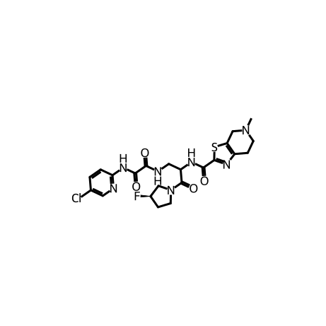 CN1CCc2nc(C(=O)NC(CNC(=O)C(=O)Nc3ccc(Cl)cn3)C(=O)N3CC[C@@H](F)C3)sc2C1